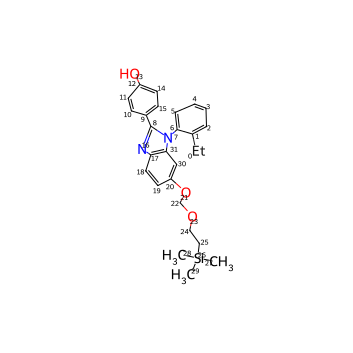 CCc1ccccc1-n1c(-c2ccc(O)cc2)nc2ccc(OCOCC[Si](C)(C)C)cc21